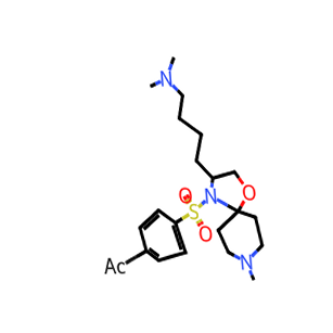 CC(=O)c1ccc(S(=O)(=O)N2C(CCCCN(C)C)COC23CCN(C)CC3)cc1